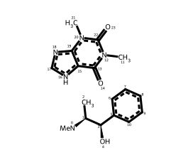 CN[C@@H](C)[C@H](O)c1ccccc1.Cn1c(=O)c2[nH]cnc2n(C)c1=O